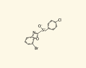 [O-][S+](Cc1ccc(Cl)cc1)c1nc2cccc(Br)c2o1